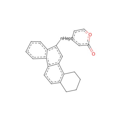 CCCCCCCc1cc2c3c(ccc2c2ccccc12)CCCC3.O=c1cccco1